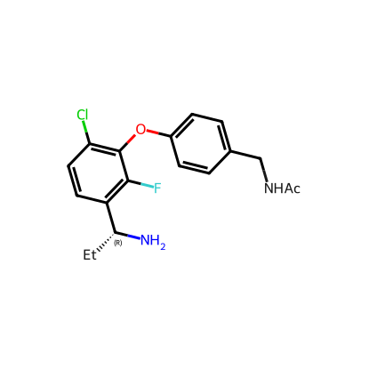 CC[C@@H](N)c1ccc(Cl)c(Oc2ccc(CNC(C)=O)cc2)c1F